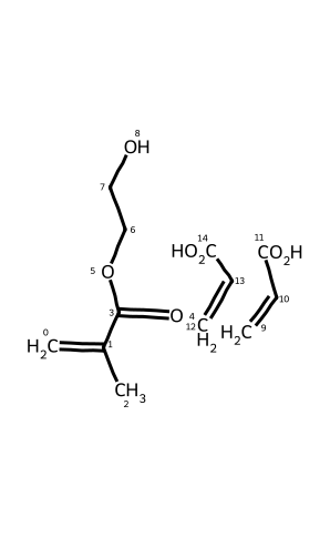 C=C(C)C(=O)OCCO.C=CC(=O)O.C=CC(=O)O